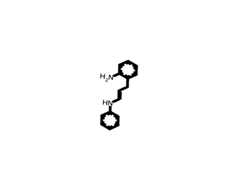 Nc1ccccc1CC=CNc1ccccc1